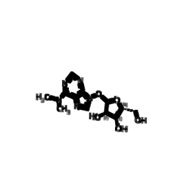 CN(C)c1ncnc2c1ncn2OC1O[C@H](CO)[C@@H](O)[C@H]1O